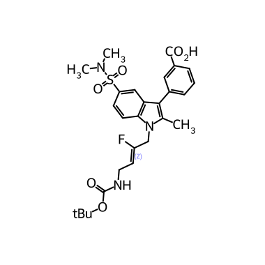 Cc1c(-c2cccc(C(=O)O)c2)c2cc(S(=O)(=O)N(C)C)ccc2n1C/C(F)=C/CNC(=O)OC(C)(C)C